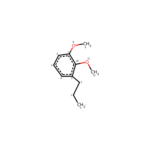 [CH2]CCc1cccc(OC)c1OC